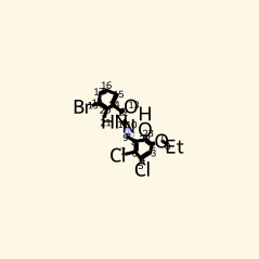 CCOc1cc(Cl)c(Cl)c(/C=N/NC(=O)c2cccc(Br)c2C)c1O